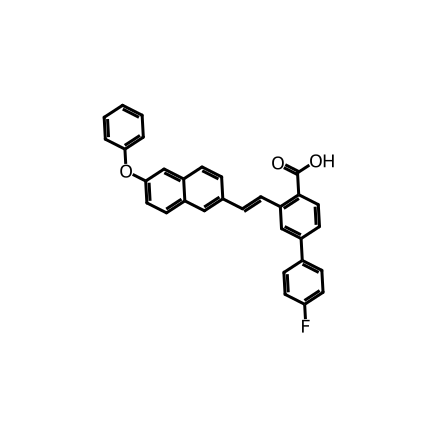 O=C(O)c1ccc(-c2ccc(F)cc2)cc1/C=C/c1ccc2cc(Oc3ccccc3)ccc2c1